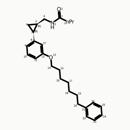 CCCC(=O)NC[C@@H]1C[C@H]1c1cccc(OCCCCCCCc2ccccc2)c1